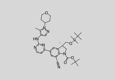 Cc1c(Nc2nccc(-c3cc(C#N)c4c(c3)[C@@](C)(CO[Si](C)(C)C(C)(C)C)CN4C(=O)OC(C)(C)C)n2)cnn1C1CCOCC1